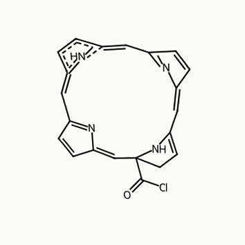 O=C(Cl)C12C=C3C=CC(=N3)C=c3ccc([nH]3)=CC3=NC(=CC(=CC1)N2)C=C3